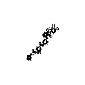 O=C1CCC(N2C(=O)c3cccc(CN4CCC(CC(=O)N5CCC(NC(=O)OCc6ccccc6)CC5)CC4)c3C2=O)C(=O)N1